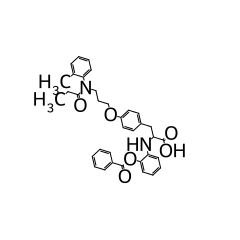 CCC(=O)N(CCCOc1ccc(CC(Nc2ccccc2OC(=O)c2ccccc2)C(=O)O)cc1)c1ccccc1C